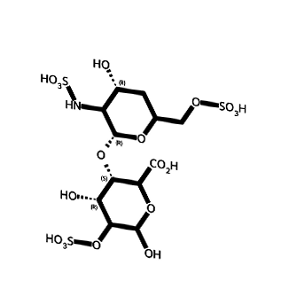 O=C(O)C1OC(O)C(OS(=O)(=O)O)[C@H](O)[C@@H]1O[C@H]1OC(COS(=O)(=O)O)C[C@@H](O)C1NS(=O)(=O)O